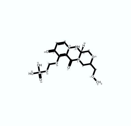 COCC1CN2C(=O)c3c(OCOP(=O)(O)O)c(=O)ccn3N[C@@H]2CO1